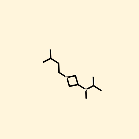 CC(C)CCN1CC(N(C)C(C)C)C1